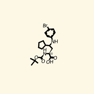 CC(C)(C)OC(=O)N[C@@H](CC(Nc1ccc(Br)cc1)C1CCCC1)C(=O)O